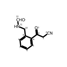 N#CCC(=O)c1ccccc1CN[C]=O